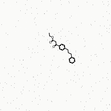 CCOC(=O)CC(=O)c1ccc(CCCc2ccccc2)cc1